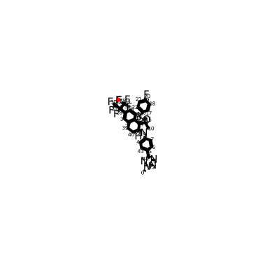 Cn1nnc(-c2ccc(N3CC[C@@]4(S(=O)(=O)c5ccc(F)cc5)c5ccc(C(F)(C(F)(F)F)C(F)(F)F)cc5CC[C@@H]34)cc2)n1